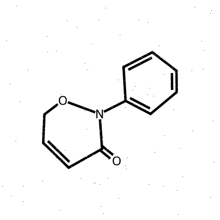 O=C1C=CCON1c1ccccc1